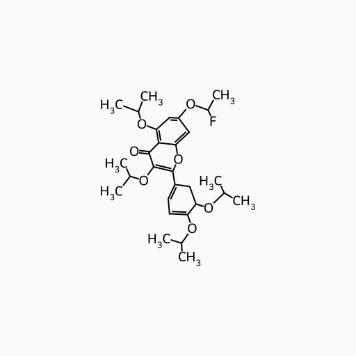 CC(C)OC1=CC=C(c2oc3cc(OC(C)F)cc(OC(C)C)c3c(=O)c2OC(C)C)CC1OC(C)C